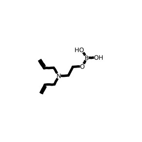 C=CCN(CC=C)CCOB(O)O